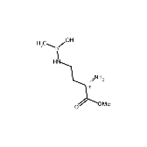 COC(=O)[C@@H](N)CCNB(C)O